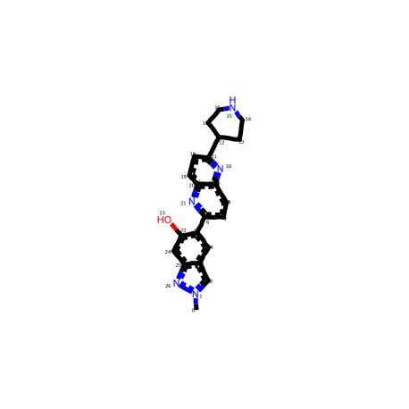 Cn1cc2cc(-c3ccc4nc(C5CCNCC5)ccc4n3)c(O)cc2n1